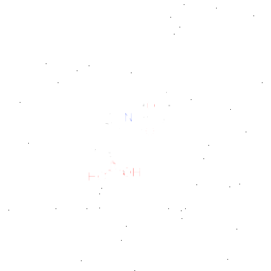 CC(C)(C)OC(=O)N1CC(C)(C)c2ccc(B(O)O)cc21